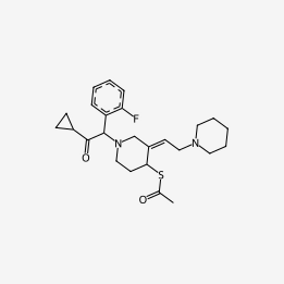 CC(=O)SC1CCN(C(C(=O)C2CC2)c2ccccc2F)CC1=CCN1CCCCC1